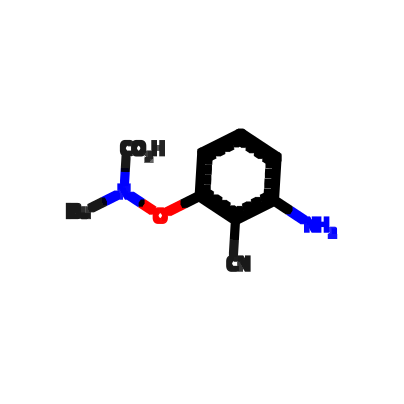 CCC(C)N(Oc1cccc(N)c1C#N)C(=O)O